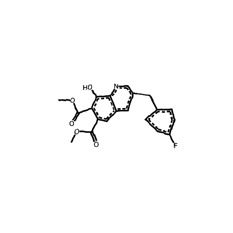 COC(=O)c1cc2cc(Cc3ccc(F)cc3)cnc2c(O)c1C(=O)OC